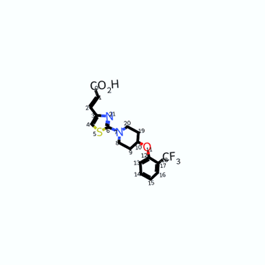 O=C(O)C=Cc1csc(N2CCC(Oc3ccccc3C(F)(F)F)CC2)n1